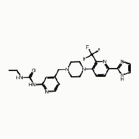 CCNC(=O)Nc1cc(CN2CCN(c3ccc(-c4ncc[nH]4)nc3C(F)(F)F)CC2)ccn1